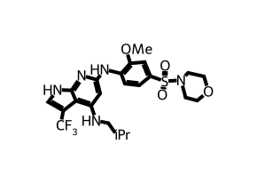 COc1cc(S(=O)(=O)N2CCOCC2)ccc1Nc1cc(NCC(C)C)c2c(C(F)(F)F)c[nH]c2n1